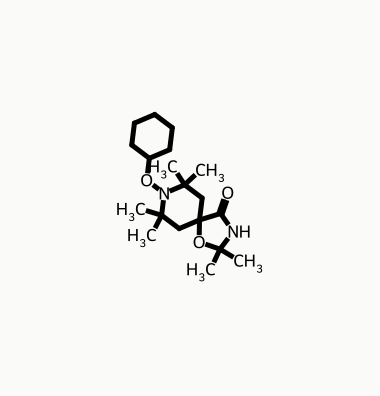 CC1(C)NC(=O)C2(CC(C)(C)N(OC3CCCCC3)C(C)(C)C2)O1